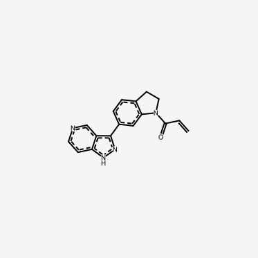 C=CC(=O)N1CCc2ccc(-c3n[nH]c4ccncc34)cc21